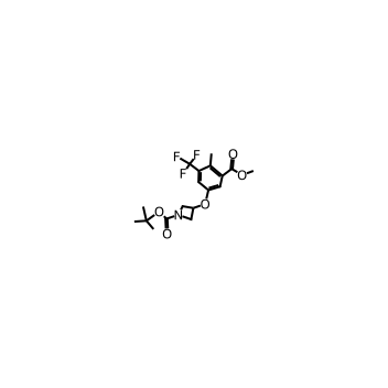 COC(=O)c1cc(OC2CN(C(=O)OC(C)(C)C)C2)cc(C(F)(F)F)c1C